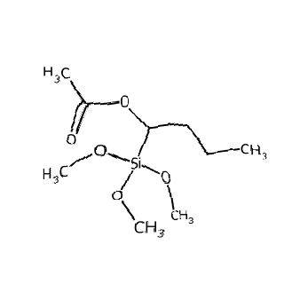 CCCC(OC(C)=O)[Si](OC)(OC)OC